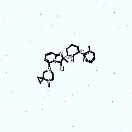 Cc1cccnc1[C@@H]1CCC[C@H](C2(C)N=C3C=CC=C(N4CCN(C)C5(CC5)C4)N3C2Cl)N1